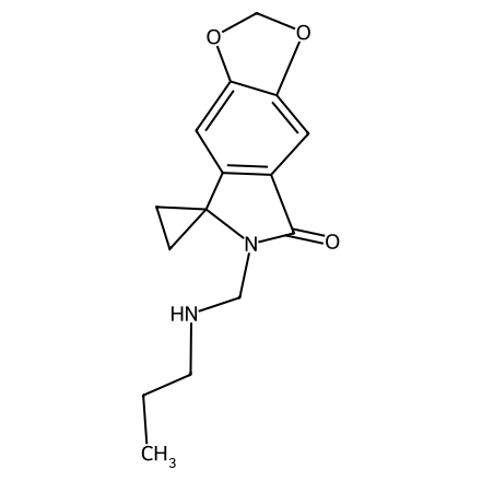 CCCNCN1C(=O)c2cc3c(cc2C12CC2)OCO3